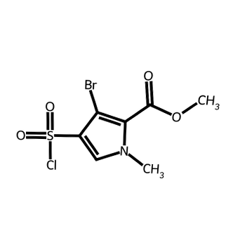 COC(=O)c1c(Br)c(S(=O)(=O)Cl)cn1C